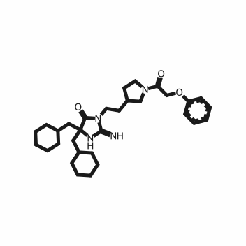 N=C1NC(CC2CCCCC2)(CC2CCCCC2)C(=O)N1CCC1CCN(C(=O)COc2ccccc2)C1